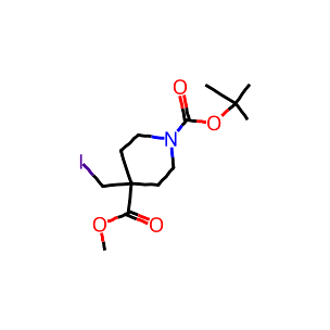 COC(=O)C1(CI)CCN(C(=O)OC(C)(C)C)CC1